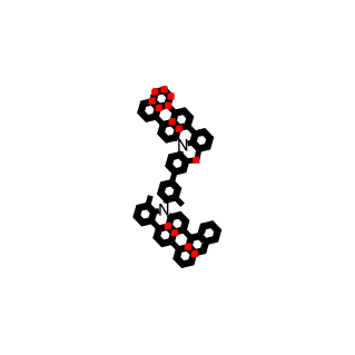 Cc1cc(-c2ccc(N(c3ccc(-c4cccc5ccccc45)cc3)c3c(C)cccc3-c3ccc(-c4ccccc4)cc3)c(C)c2)ccc1N(c1ccc(-c2cccc3ccccc23)cc1)c1c(C)cccc1-c1ccc(-c2ccccc2)cc1